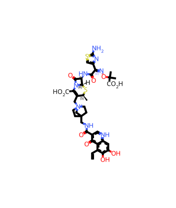 C=Cc1c(O)c(O)cc2[nH]cc(C(=O)NCC34CC[N+](CC5=C(C(=O)O)N6C(=O)[C@@H](NC(=O)/C(=N\OC(C)(C)C(=O)O)c7csc(N)n7)[C@H]6S[C@H]5C)(CC3)C4)c(=O)c12